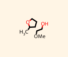 CC1CCCO1.COCCO